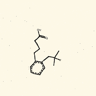 CC(C)(F)Cc1ccccc1CCCC(=O)O